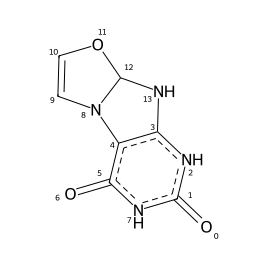 O=c1[nH]c2c(c(=O)[nH]1)N1C=COC1N2